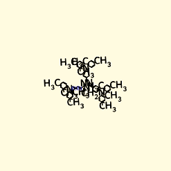 C=C/C(=C\C=C\N(c1ccc(C)cc1C)c1ccc(C)cc1C)c1nc(-c2ccc(N(c3ccc(C)cc3C)c3ccc(C)cc3C)cc2)nc(-c2ccc(N(c3ccc(C)cc3C)C3C=CC(C)=CC3C)cc2)n1